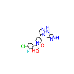 Cc1n[nH]cc1Nc1nccc(-c2ccn([C@H](CO)c3ccc(Cl)c(F)c3)c(=O)c2)n1